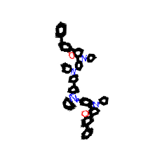 c1ccc(-c2ccc3oc4c(ccc5c4c4cc(N(c6ccccc6)c6ccc(-c7ccc(N(c8ccccc8)c8ccc9c(c8)c8c%10oc%11ccc(-c%12ccccc%12)cc%11c%10ccc8n9-c8ccccc8)cc7)cc6)ccc4n5-c4ccccc4)c3c2)cc1